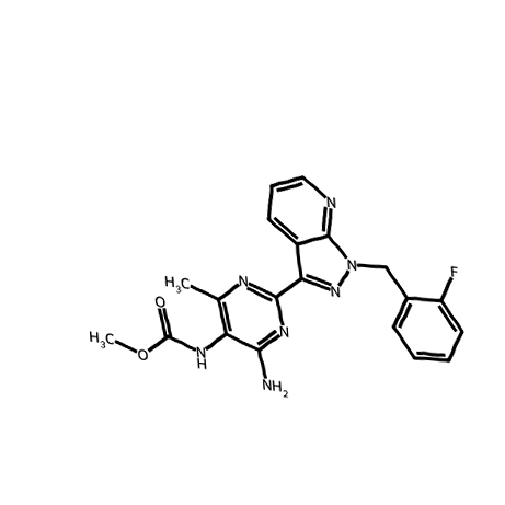 COC(=O)Nc1c(C)nc(-c2nn(Cc3ccccc3F)c3ncccc23)nc1N